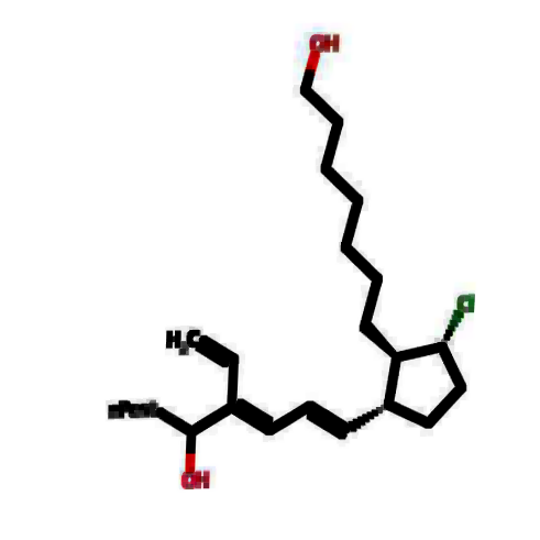 C=C/C(=C\C=C\[C@H]1CC[C@@H](Cl)[C@@H]1CCCCCCCO)C(O)CCCCC